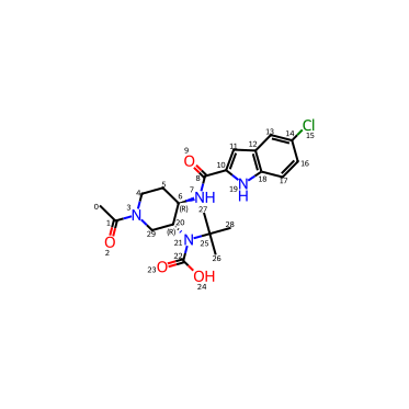 CC(=O)N1CC[C@@H](NC(=O)c2cc3cc(Cl)ccc3[nH]2)[C@H](N(C(=O)O)C(C)(C)C)C1